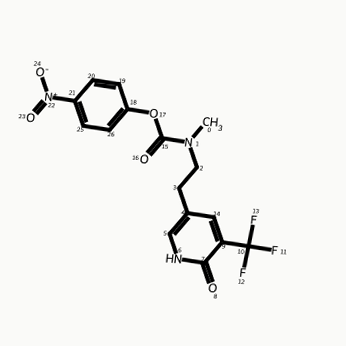 CN(CCc1c[nH]c(=O)c(C(F)(F)F)c1)C(=O)Oc1ccc([N+](=O)[O-])cc1